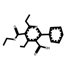 CCSC(=O)c1c(CC)nc(-c2ccccc2)c(C(=O)O)c1CC